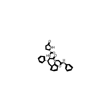 O=C(CN1C(=O)[C@H](NC(=O)[C@@H]2CCC(=O)N2)[C@@H](c2ccccc2)Cc2ccccc21)Nc1ccccc1